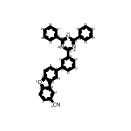 N#Cc1ccc2oc3ccc(-c4cccc(-c5nc(-c6ccccc6)nc(-c6ccccc6)n5)c4)cc3c2c1